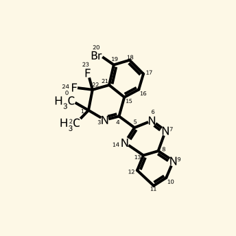 CC1(C)N=C(c2nnc3ncccc3n2)c2cccc(Br)c2C1(F)F